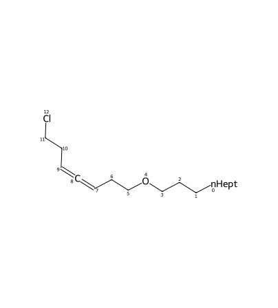 CCCCCCCCCCOCCC=C=CCCCl